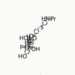 CC(C)Nc1ccc(SCc2ccc([C@@H]3O[C@@H]4C[C@H]5[C@@H]6C[C@H](F)C7=CC(O)C=C[C@]7(C)[C@@]6(F)[C@@H](O)C[C@]5(C)[C@]4(C(=O)CO)O3)cc2)cc1